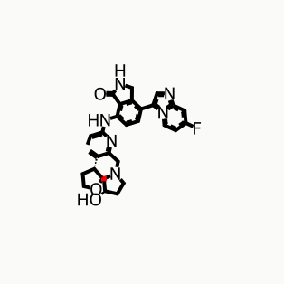 C=C(/C(CN1CC[C@@H](O)C1)=N\C(=C/C)Nc1ccc(-c2cnc3cc(F)ccn23)c2c1C(=O)NC2)[C@H]1CCOC1